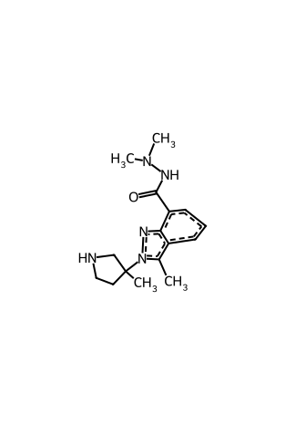 Cc1c2cccc(C(=O)NN(C)C)c2nn1C1(C)CCNC1